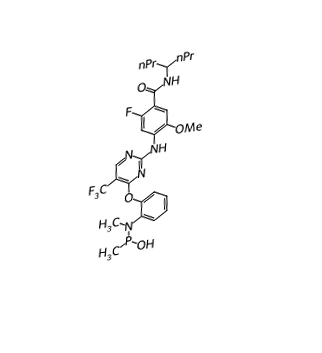 CCCC(CCC)NC(=O)c1cc(OC)c(Nc2ncc(C(F)(F)F)c(Oc3ccccc3N(C)P(C)O)n2)cc1F